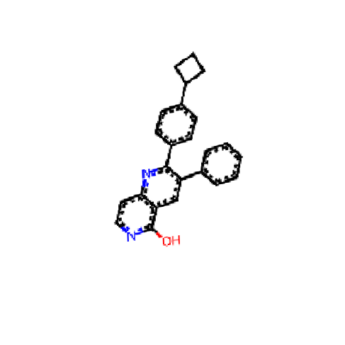 Oc1nccc2nc(-c3ccc([C]4CCC4)cc3)c(-c3ccccc3)cc12